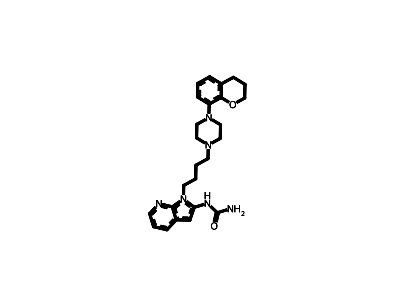 NC(=O)Nc1cc2cccnc2n1CCCCN1CCN(c2cccc3c2OCCC3)CC1